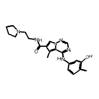 Cc1ccc(Nc2ncnn3cc(C(=O)NCCN4CCCC4)c(C)c23)cc1O